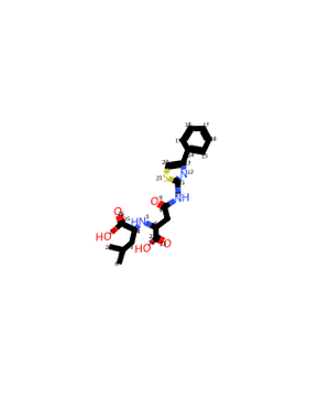 CC(C)CC(NC(CC(=O)Nc1nc(-c2ccccc2)cs1)C(=O)O)C(=O)O